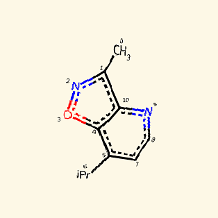 Cc1noc2c(C(C)C)ccnc12